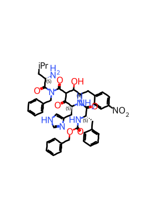 CC(C)C[C@H](N)C(=O)N(Cc1ccccc1)C(=O)C(C(=O)[C@H](Cc1c[nH]cn1)NC(=O)[C@H](Cc1ccccc1)NC(=O)OCc1ccccc1)C(O)[C@@H](N)Cc1ccc([N+](=O)[O-])cc1